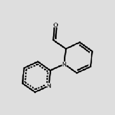 O=CC1C=CC=CN1c1ccccn1